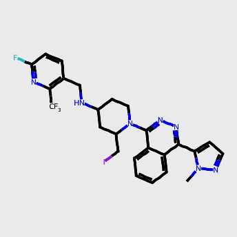 Cn1nccc1-c1nnc(N2CCC(NCc3ccc(F)nc3C(F)(F)F)CC2CI)c2ccccc12